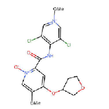 COc1c[n+]([O-])c(C(=O)Nc2c(Cl)c[n+](OC)cc2Cl)cc1OC1CCOC1